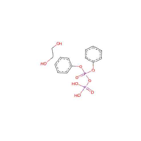 O=P(O)(O)OP(=O)(Oc1ccccc1)Oc1ccccc1.OCCO